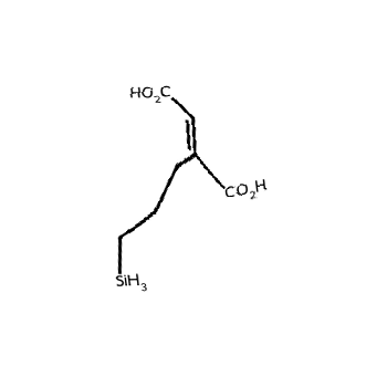 O=C(O)C=C(CCC[SiH3])C(=O)O